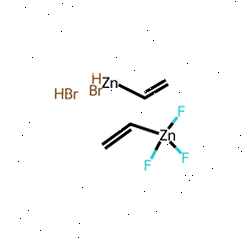 Br.Br.C=[CH][Zn].C=[CH][Zn]([F])([F])[F]